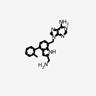 Cc1ccccc1-c1ccc(Cn2cnc3c(N)ncnc32)c2[nH]c(CN)cc12